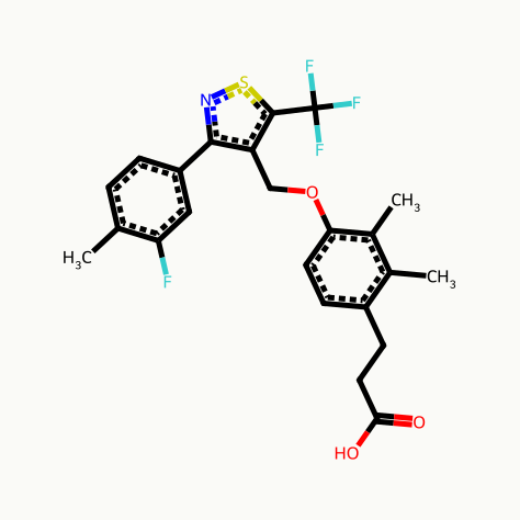 Cc1ccc(-c2nsc(C(F)(F)F)c2COc2ccc(CCC(=O)O)c(C)c2C)cc1F